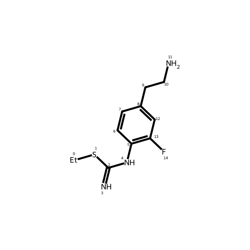 CCSC(=N)Nc1ccc(CCN)cc1F